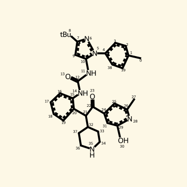 Cc1ccc(-n2nc(C(C)(C)C)cc2NC(=O)Nc2ccccc2C(C(=O)c2cc(C)nc(O)c2)C2CCNCC2)cc1